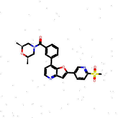 C[C@@H]1CN(C(=O)c2cccc(-c3ccnc4cc(-c5ccc(S(C)(=O)=O)nc5)oc34)c2)C[C@H](C)O1